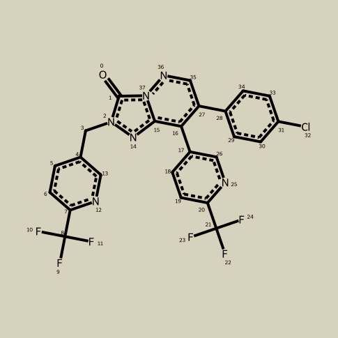 O=c1n(Cc2ccc(C(F)(F)F)nc2)nc2c(-c3ccc(C(F)(F)F)nc3)c(-c3ccc(Cl)cc3)cnn12